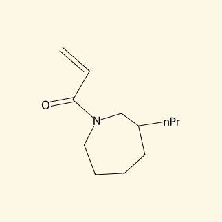 C=CC(=O)N1CCCCC(CCC)C1